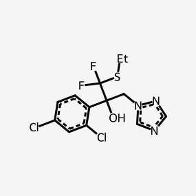 CCSC(F)(F)C(O)(Cn1cncn1)c1ccc(Cl)cc1Cl